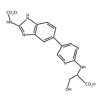 CCOC(=O)Nc1nc2cc(-c3cnc(NC(CO)C(=O)O)nc3)ccc2[nH]1